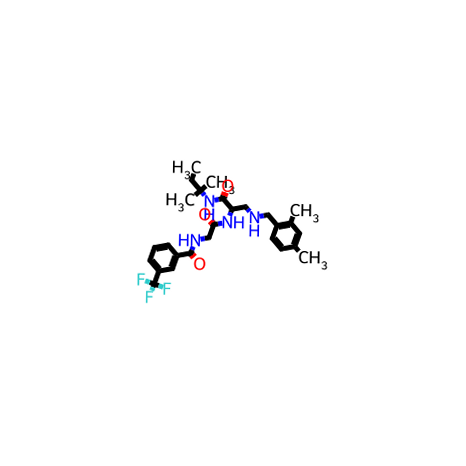 CCC(C)(C)NC(=O)C(CNCc1ccc(C)cc1C)NC(=O)CNC(=O)c1cccc(C(F)(F)F)c1